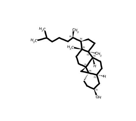 CC(C)CCC[C@@H](C)[C@H]1CC[C@@]2(C)[C@@H]3CC[C@H]4C[C@@H](O)CC[C@@]45C[C@@]35CC[C@]12C